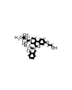 CCN(Cc1ccccc1Cl)C(=O)C1=C(c2ccc(OCCO)cc2)CCN(C(=O)OC(C)(C)C)C1